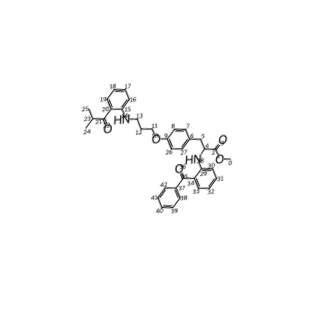 COC(=O)C(Cc1ccc(OCCCNc2ccccc2C(=O)C(C)C)cc1)Nc1ccccc1C(=O)c1ccccc1